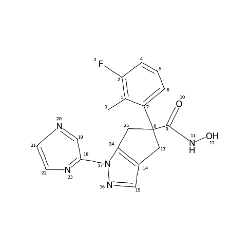 Cc1c(F)cccc1C1(C(=O)NO)Cc2cnn(-c3cnccn3)c2C1